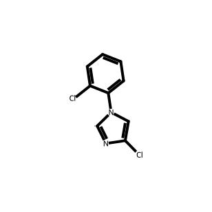 Clc1cn(-c2ccccc2Cl)[c]n1